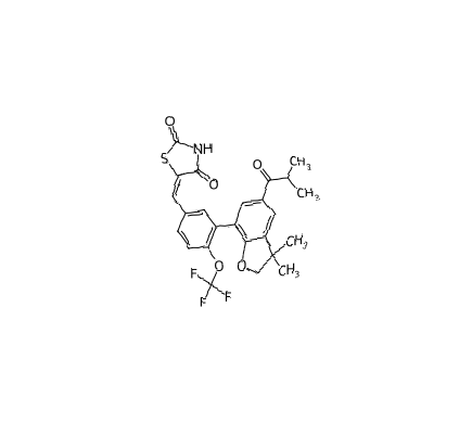 CC(C)C(=O)c1cc(-c2cc(C=C3SC(=O)NC3=O)ccc2OC(F)(F)F)c2c(c1)C(C)(C)CO2